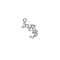 CN1CCC(Oc2cc3ncnc(Nc4ccc(Oc5ccccc5)c(Cl)c4)c3cc2[N+](=O)[O-])C1